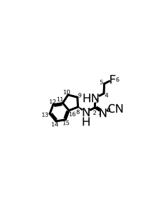 N#C/N=C(\NCCF)N[C@@H]1CCc2ccccc21